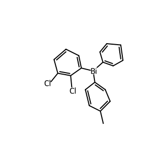 Cc1cc[c]([Bi]([c]2ccccc2)[c]2cccc(Cl)c2Cl)cc1